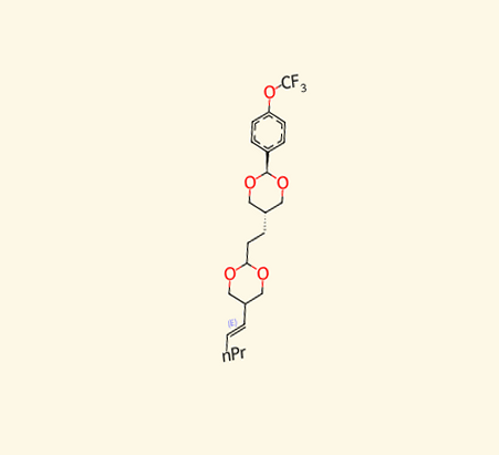 CCC/C=C/C1COC(CC[C@H]2CO[C@H](c3ccc(OC(F)(F)F)cc3)OC2)OC1